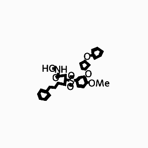 COc1ccc(S(=O)(=O)C(CCCCc2ccccc2)CC(=O)NO)cc1OC1CCC(Oc2ccccc2)C1